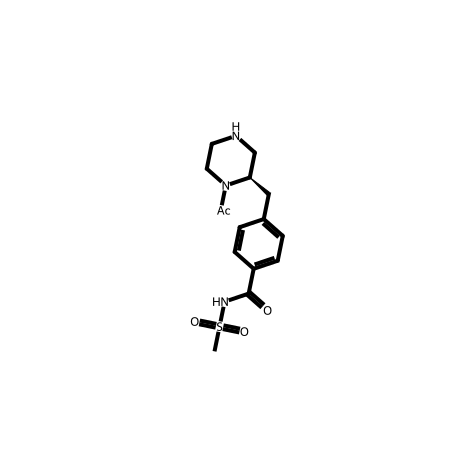 CC(=O)N1CCNC[C@H]1Cc1ccc(C(=O)NS(C)(=O)=O)cc1